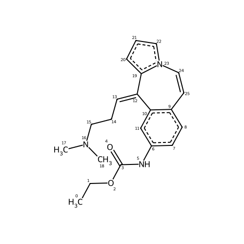 CCOC(=O)Nc1ccc2c(c1)/C(=C\CCN(C)C)c1cccn1C=C2